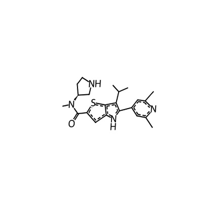 Cc1cc(-c2[nH]c3cc(C(=O)N(C)[C@H]4CCNC4)sc3c2C(C)C)cc(C)n1